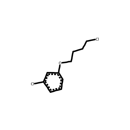 ClCCCCOc1cccc(Cl)c1